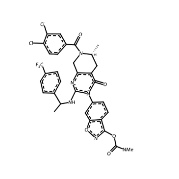 CNC(=O)Oc1noc2cc(-n3c(NC(C)c4ccc(C(F)(F)F)cc4)nc4c(c3=O)C[C@@H](C)N(C(=O)c3ccc(Cl)c(Cl)c3)C4)ccc12